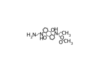 CCC(COC(C)=O)Nc1cccc2c1C(=O)c1cccc(NCCN)c1C2=O